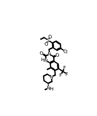 CCS(=O)(=O)c1ccc(Cl)cc1Cn1c(=O)[nH]c2c(C)c(CN3CCC[C@H](NC)C3)c(C(F)(F)F)cc2c1=O